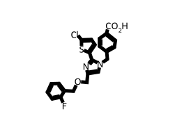 O=C(O)c1ccc(Cn2cc(COCc3ccccc3F)nc2-c2ccc(Cl)s2)cc1